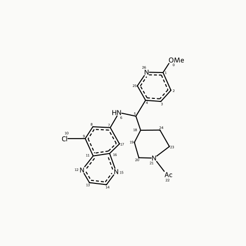 COc1ccc(C(Nc2cc(Cl)c3nccnc3c2)C2CCN(C(C)=O)CC2)cn1